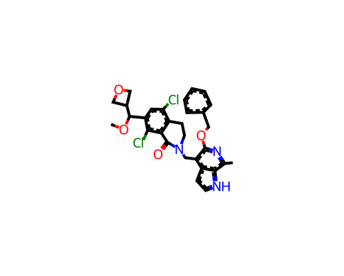 COC(c1cc(Cl)c2c(c1Cl)C(=O)N(Cc1c(OCc3ccccc3)nc(C)c3[nH]ccc13)CC2)C1COC1